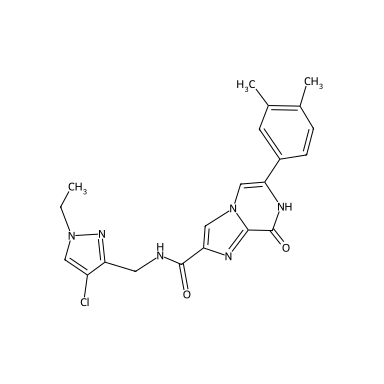 CCn1cc(Cl)c(CNC(=O)c2cn3cc(-c4ccc(C)c(C)c4)[nH]c(=O)c3n2)n1